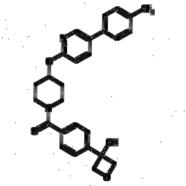 O=C(c1ccc(C2(O)COC2)cc1)N1CCC(Oc2ccc(-c3ccc(C(F)(F)F)cc3)cn2)CC1